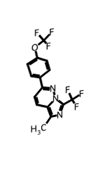 Cc1nc(C(F)(F)F)n2nc(-c3ccc(OC(F)(F)F)cc3)ccc12